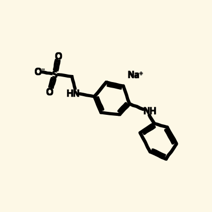 O=S(=O)([O-])CNc1ccc(Nc2ccccc2)cc1.[Na+]